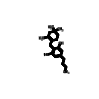 CCCCc1cc(O)c(CC2=C(C)CC(C)(C)CC2)c(O)c1